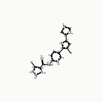 Cc1cc(-c2cnco2)sc1-c1ccc(NC(=O)c2snnc2C)nc1